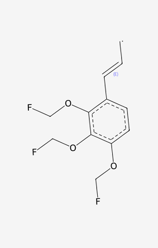 [CH2]/C=C/c1ccc(OCF)c(OCF)c1OCF